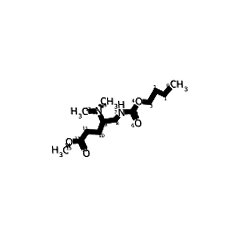 CCCCOC(=O)NCC(CCC(=O)OC)N(C)C